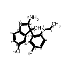 CCSc1ccc(F)cc1C1(O)C(N)=Nc2ccc(Cl)cc21